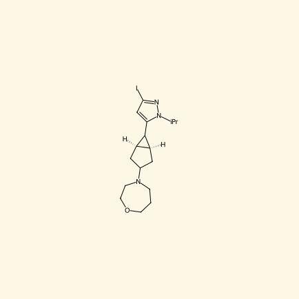 CC(C)n1nc(I)cc1C1[C@H]2CC(N3CCCOCC3)C[C@@H]12